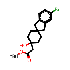 CC(C)(C)OC(=O)CC1(O)CCC2(CC1)Cc1ccc(Br)cc1C2